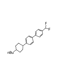 CCCCC1CCC(c2ccc(-c3ccc(C(F)F)cc3)cc2)CC1